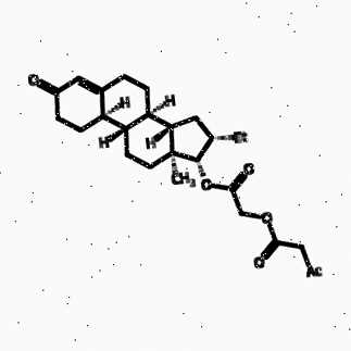 CC[C@H]1C[C@H]2[C@@H]3CCC4=CC(=O)CC[C@@H]4[C@H]3CC[C@]2(C)[C@H]1OC(=O)COC(=O)CC(C)=O